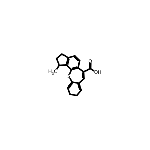 CC1CCc2ccc3c(c21)SC1=CCCC=C1C=C3C(=O)O